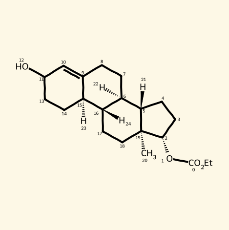 CCOC(=O)O[C@H]1CC[C@H]2[C@@H]3CCC4=CC(O)CC[C@@H]4[C@H]3CC[C@]12C